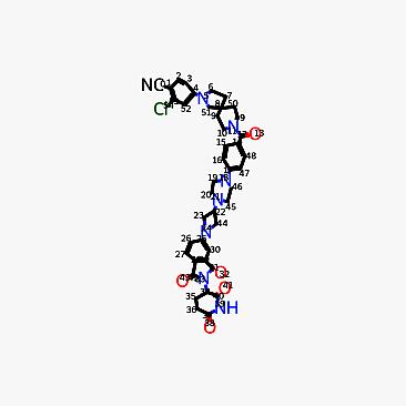 N#Cc1ccc(N2CCC3(CCN(C(=O)c4ccc(N5CCN(C6CN(c7ccc8c(c7)C(=O)N(C7CCC(=O)NC7=O)C8=O)C6)CC5)cc4)CC3)C2)cc1Cl